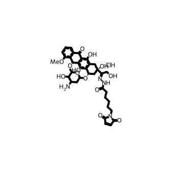 COc1cccc2c1C(=O)c1c(O)c3c(c(O)c1C2=O)C[C@@](O)(C(CO)=NNC(=O)CCCCCN1C(=O)C=CC1=O)C[C@@H]3OC1CC(N)C(O)C(C)O1.Cl